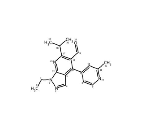 CCn1ncc2c(-c3ccnc(C)c3)c(C=O)c(C(C)C)nc21